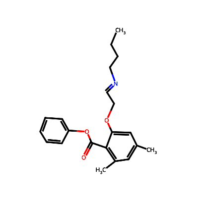 CCCCN=CCOc1cc(C)cc(C)c1C(=O)Oc1ccccc1